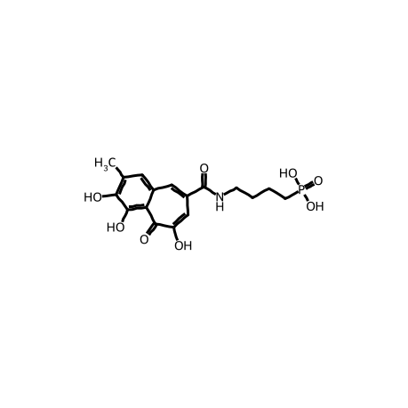 Cc1cc2cc(C(=O)NCCCCP(=O)(O)O)cc(O)c(=O)c2c(O)c1O